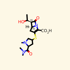 CC(O)[C@H]1C(=O)N2C(C(=O)O)=C(SC3CC(C(=O)N(C)C)N(C)C3)C[C@@H]12